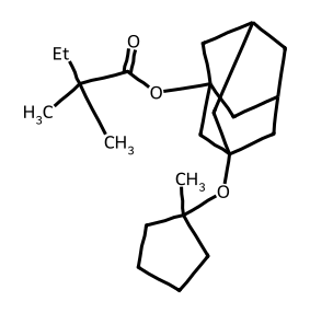 CCC(C)(C)C(=O)OC12CC3CC(C1)CC(OC1(C)CCCC1)(C3)C2